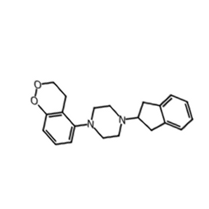 c1ccc2c(c1)CC(N1CCN(c3cccc4c3CCOO4)CC1)C2